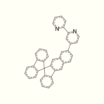 c1ccc(-c2cc(-c3ccc4cc5c(cc4c3)C3(c4ccccc4-c4ccccc43)c3ccccc3-5)ccn2)nc1